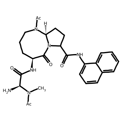 CC(=O)N(C)[C@@H](N)C(=O)N[C@H]1CCCN(C(C)=O)[C@H]2CCC(C(=O)Nc3cccc4ccccc34)N2C1=O